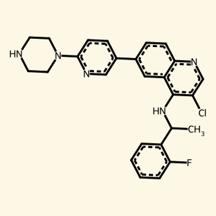 CC(Nc1c(Cl)cnc2ccc(-c3ccc(N4CCNCC4)nc3)cc12)c1ccccc1F